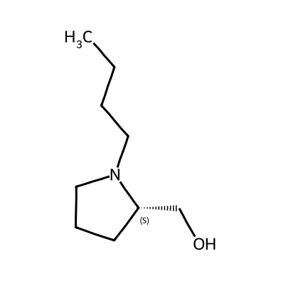 CCCCN1CCC[C@H]1CO